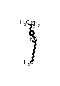 CCCCCCCCCCc1cnc(-c2ccc(C[C@@H](F)[C@@H](C)CC)cc2)nc1